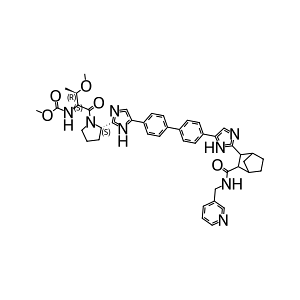 COC(=O)N[C@H](C(=O)N1CCC[C@H]1c1ncc(-c2ccc(-c3ccc(-c4cnc(C5C6CCC(C6)C5C(=O)NCc5cccnc5)[nH]4)cc3)cc2)[nH]1)[C@@H](C)OC